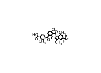 Cc1cn(C(=O)c2c(Cl)ccc(C(=O)N3CC[C@H](C(=O)O)[C@H](C)C3)c2Cl)c2c1C=C(C(F)(F)F)CC2C